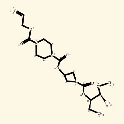 C=CCOC(=O)N1CCN(C(=O)OC2CN(C(=O)O[C@H](CC)[C@H](C)OC)C2)CC1